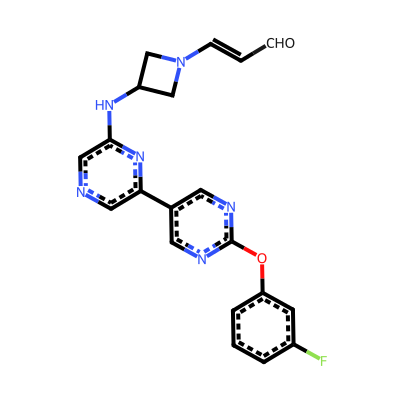 O=CC=CN1CC(Nc2cncc(-c3cnc(Oc4cccc(F)c4)nc3)n2)C1